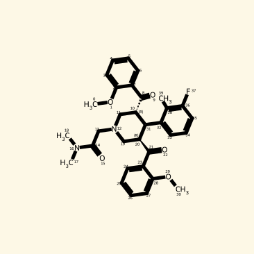 COc1ccccc1C(=O)[C@H]1CN(CC(=O)N(C)C)C[C@H](C(=O)c2ccccc2OC)C1c1cccc(F)c1C